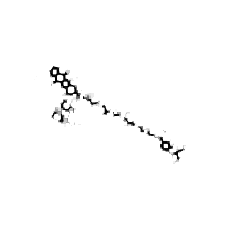 COc1cccc2c1C(=O)c1c(O)c3c(c(O)c1C2=O)C[C@@](O)(C(=O)NNC(=O)CCSCC(=O)NCCNC(=O)CCOCCOCCNC(=O)c1ccc2nc(CBr)c(CBr)nc2c1)C[C@@H]3O[C@H]1C[C@H]2[C@H](O[C@@H]3[C@@H](OC)OCCN32)[C@H](C)O1